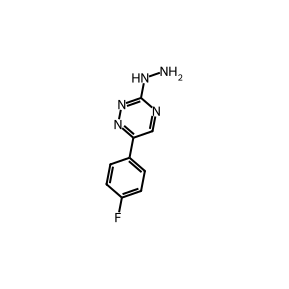 NNc1ncc(-c2ccc(F)cc2)nn1